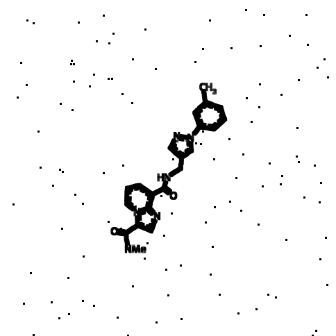 CNC(=O)c1cnc2c(C(=O)NCc3cnn(-c4cccc(C)c4)c3)cccn12